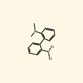 CCN(CC)c1ccccc1-c1ccc[c]c1N(C)C